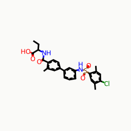 CCC(NC(=O)c1ccc(-c2cccc(NS(=O)(=O)c3cc(C)c(Cl)cc3C)c2)cc1C)C(=O)O